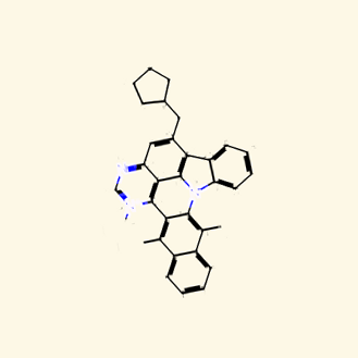 Cc1c2ccccc2c(C)c2c1c1c3c(cc(CC4CCCC4)c4c5ccccc5n2c43)nc[n+]1C